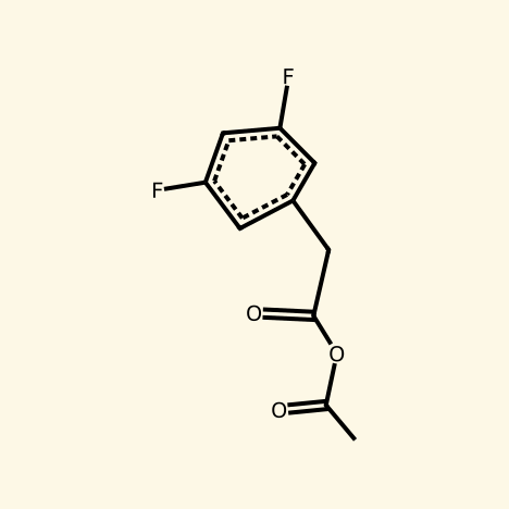 CC(=O)OC(=O)Cc1cc(F)cc(F)c1